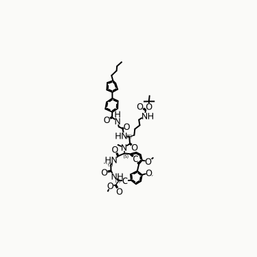 CCCCc1ccc(-c2ccc(C(=O)NCC(=O)N[C@@H](CCCCNC(=O)OC(C)(C)C)C(=O)N(C)[C@@H]3C(=O)N[C@@H](C)C(=O)N[C@H](C(=O)OC)Cc4ccc(OC)c(c4)-c4cc3ccc4OC)cc2)cc1